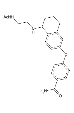 CC(=O)NCCNC1CCCc2cc(Oc3ccc(C(N)=O)cn3)ccc21